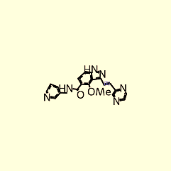 COc1c(C(=O)NCc2cccnc2)ccc2[nH]nc(/C=C/c3cnccn3)c12